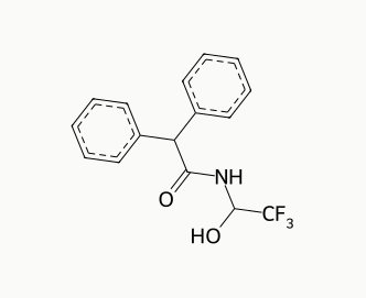 O=C(NC(O)C(F)(F)F)C(c1ccccc1)c1ccccc1